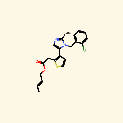 CC=CCOC(=O)Cc1sccc1-c1cnc(CCCC)n1Cc1ccccc1Cl